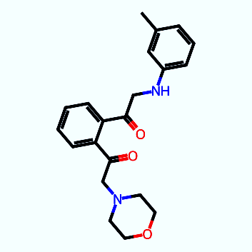 Cc1cccc(NCC(=O)c2ccccc2C(=O)CN2CCOCC2)c1